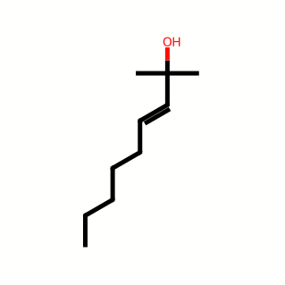 CCCCCC=CC(C)(C)O